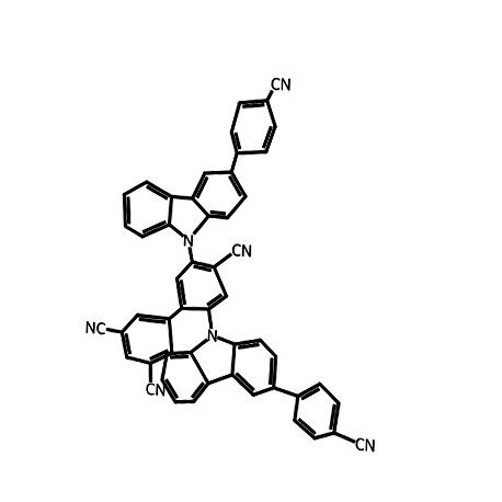 N#Cc1ccc(-c2ccc3c(c2)c2ccccc2n3-c2cc(-c3cc(C#N)cc(C#N)c3)c(-n3c4ccccc4c4cc(-c5ccc(C#N)cc5)ccc43)cc2C#N)cc1